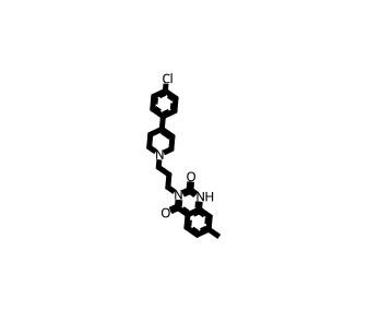 Cc1ccc2c(=O)n(CCCN3CC=C(c4ccc(Cl)cc4)CC3)c(=O)[nH]c2c1